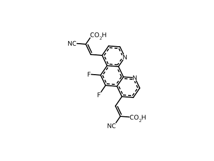 N#CC(=Cc1ccnc2c1c(F)c(F)c1c(C=C(C#N)C(=O)O)ccnc12)C(=O)O